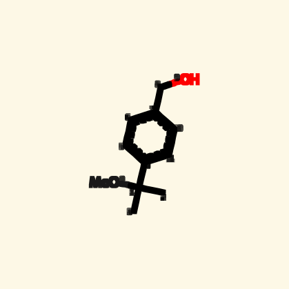 COC(C)(C)c1ccc(CO)cc1